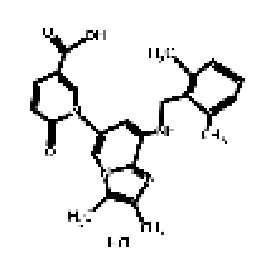 Cc1cccc(C)c1CNc1cc(-n2cc(C(=O)O)ccc2=O)cn2c(C)c(C)nc12.Cl